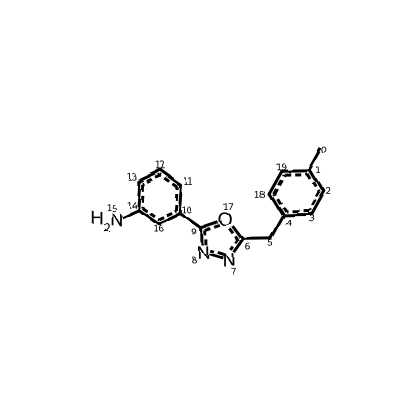 Cc1ccc(Cc2nnc(-c3cccc(N)c3)o2)cc1